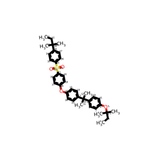 CCC(C)(C)Oc1ccc(C(C)(C)c2ccc(Oc3ccc(S(=O)(=O)c4ccc(C(C)(C)CC)cc4)cc3)cc2)cc1